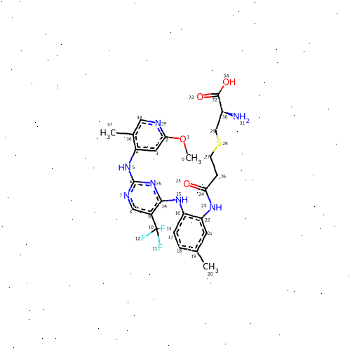 COc1cc(Nc2ncc(C(F)(F)F)c(Nc3ccc(C)cc3NC(=O)CCSC[C@H](N)C(=O)O)n2)c(C)cn1